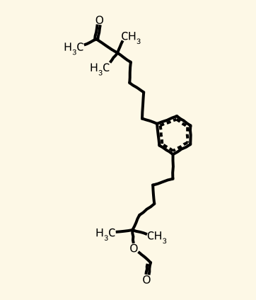 CC(=O)C(C)(C)CCCCc1cccc(CCCCC(C)(C)OC=O)c1